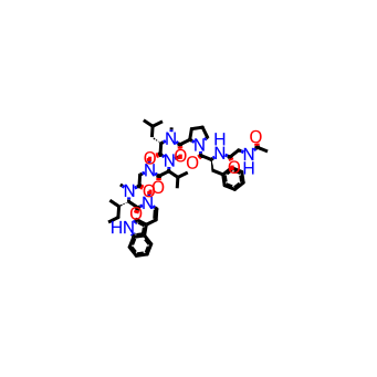 CCC(C)[C@@H](C(=O)N(C)/C=C\c1c[nH]c2ccccc12)N(C)C(=O)CN(C)C(=O)C(C(C)C)N(C)C(=O)[C@H](CC(C)C)N(C)C(=O)C1CCCN1C(=O)[C@H](Cc1ccccc1)NC(=O)CNC(C)=O